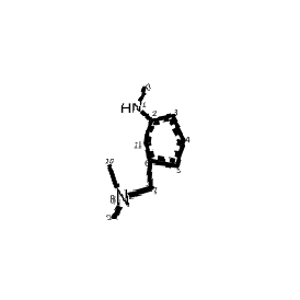 CNc1cccc(CN(C)C)c1